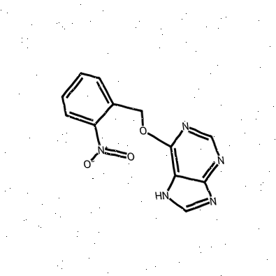 O=[N+]([O-])c1ccccc1COc1ncnc2nc[nH]c12